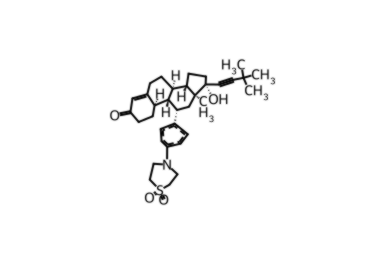 CC(C)(C)C#C[C@]1(O)CC[C@H]2[C@@H]3CCC4=CC(=O)CC[C@@H]4[C@H]3[C@@H](c3ccc(N4CCS(=O)(=O)CC4)cc3)C[C@@]21C